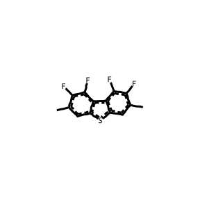 Cc1cc2sc3cc(C)c(F)c(F)c3c2c(F)c1F